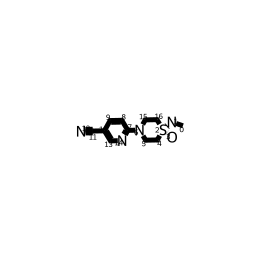 CN=S1(=O)CCN(c2ccc(C#N)cn2)CC1